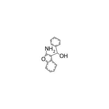 Nc1oc2ccccc2c1C(O)c1ccccc1